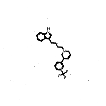 FC(F)(F)c1cccc(C2C=CCN(CCCCc3c[nH]c4ccccc34)C2)c1